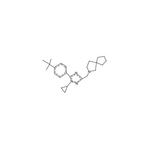 CC(C)(C)c1ccc(-c2nc(CN3CCC4(CCCC4)C3)nn2C2CC2)cc1